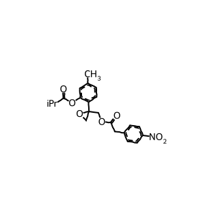 Cc1ccc(C2(COC(=O)Cc3ccc([N+](=O)[O-])cc3)CO2)c(OC(=O)C(C)C)c1